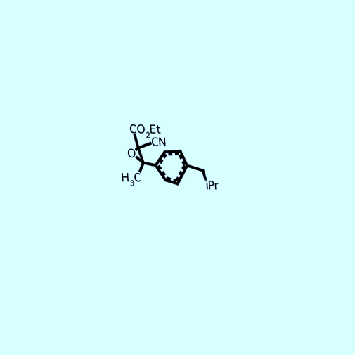 CCOC(=O)C1(C#N)OC1(C)c1ccc(CC(C)C)cc1